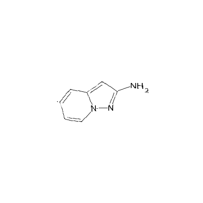 Nc1cc2c[c]ccn2n1